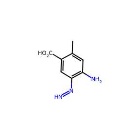 Cc1cc(N)c(N=N)cc1C(=O)O